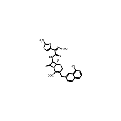 CO/N=C(\C(=O)NC1C(=O)N2C(C(=O)[O-])=C(C[n+]3ccc4cccc(O)c4c3)CS[C@H]12)c1csc(N)n1